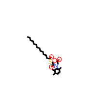 CCCCCCCCCCCCCC(=O)SCC(=O)N(CC(=O)OC)c1c(C)ccc(C)c1C